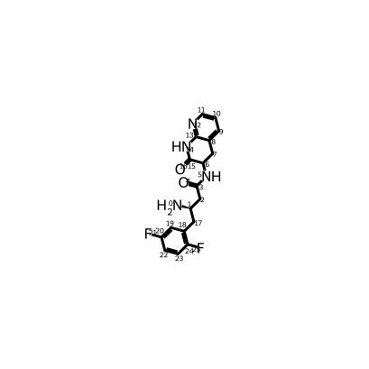 N[C@@H](CC(=O)NC1Cc2cccnc2NC1=O)Cc1cc(F)ccc1F